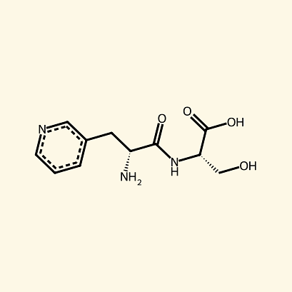 N[C@H](Cc1cccnc1)C(=O)N[C@@H](CO)C(=O)O